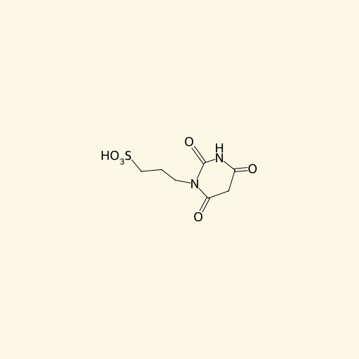 O=C1CC(=O)N(CCCS(=O)(=O)O)C(=O)N1